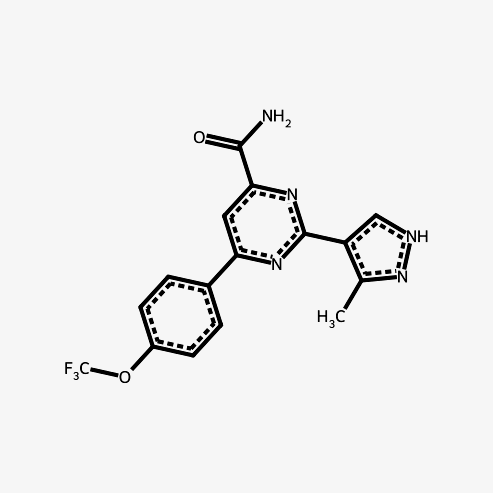 Cc1n[nH]cc1-c1nc(C(N)=O)cc(-c2ccc(OC(F)(F)F)cc2)n1